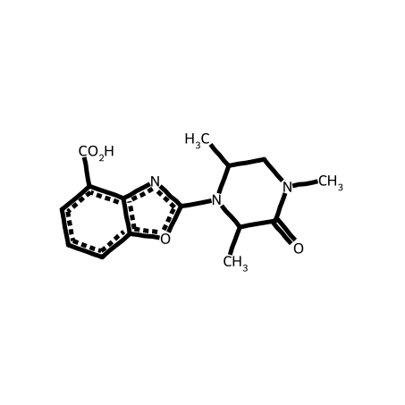 CC1CN(C)C(=O)C(C)N1c1nc2c(C(=O)O)cccc2o1